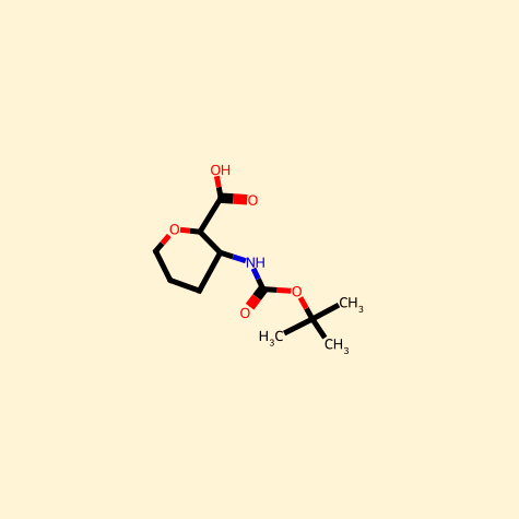 CC(C)(C)OC(=O)NC1CCCOC1C(=O)O